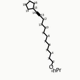 CCCOCCCCCCCCCCCC#CC1CCCC1